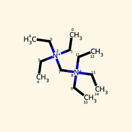 CC[N+](CC)(CC)C[N+](CC)(CC)CC